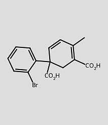 CC1=C(C(=O)O)CC(C(=O)O)(c2ccccc2Br)C=C1